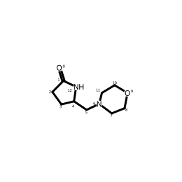 O=C1CCC(CN2CCOCC2)N1